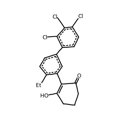 CCc1ccc(-c2ccc(Cl)c(Cl)c2Cl)cc1C1=C(O)CCCC1=O